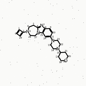 C1=CC(N2CCc3nc4ccc(N5CCN(C6CCOCC6)CC5)cc4n3CC2)=C1